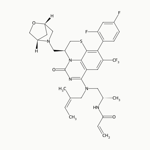 C=CC(=O)N[C@@H](C)CN(C/C(C)=C\C)c1nc(=O)n2c3c(c(-c4ccc(F)cc4F)c(C(F)(F)F)cc13)SC[C@@H]2CN1C[C@@H]2C[C@H]1CO2